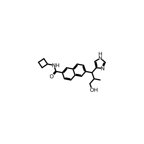 CC(CO)C(c1ccc2cc(C(=O)NC3CCC3)ccc2c1)c1c[nH]cn1